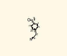 C[S+]([O-])c1ccc(CC#N)cc1